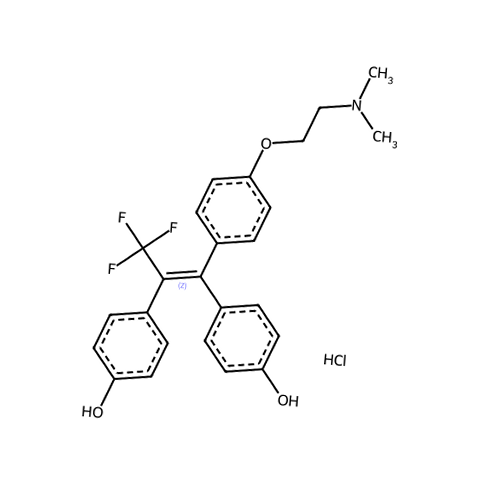 CN(C)CCOc1ccc(/C(=C(/c2ccc(O)cc2)C(F)(F)F)c2ccc(O)cc2)cc1.Cl